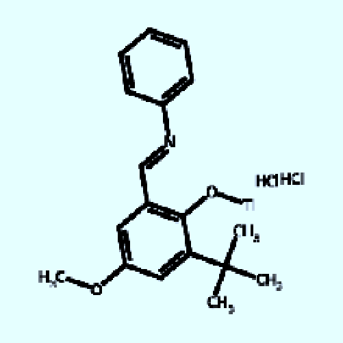 COc1cc(C=Nc2ccccc2)c([O][Ti])c(C(C)(C)C)c1.Cl.Cl